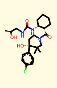 C[C@H](O)CNC(=O)N[C@@H]1CCCC[C@@H]1C(=O)N1CC[C@](O)(c2ccc(Cl)cc2)C(C)(C)C1